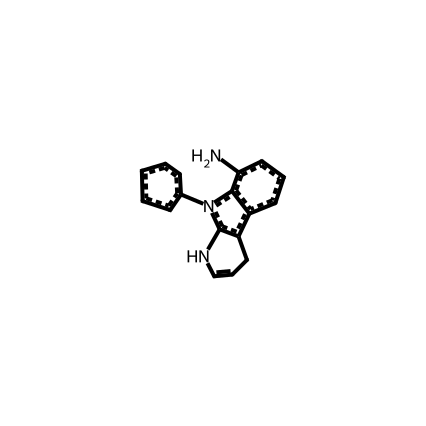 Nc1cccc2c3c(n(-c4ccccc4)c12)NC=CC3